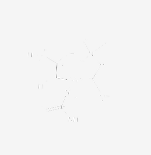 C[N+](C)(C)CCO.NC(N)=O.O=C([O-])C(O)C(O)C(=O)O